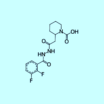 O=C(CC1CCCCN1C(=O)O)NNC(=O)c1cccc(F)c1F